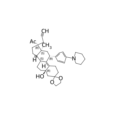 C#CC[C@]1(C(C)=O)CC[C@H]2[C@@H]3CC[C@@]4(O)CC5(CCC4=C3[C@@H](c3ccc(N4CCCCC4)cc3)C[C@@]21C)OCCO5